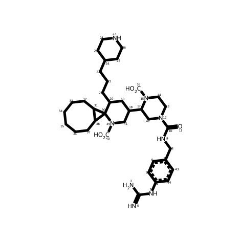 N=C(N)Nc1ccc(CNC(=O)N2CCN(C(=O)O)C(C3CC(CCCC4CCNCC4)C4(C5CCCCCCC54)N(C(=O)O)C3)C2)cc1